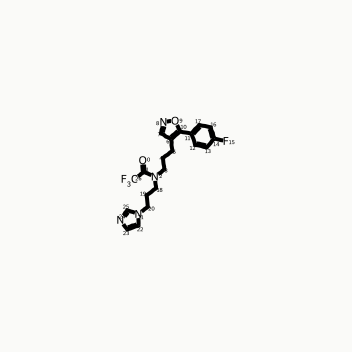 O=C(N(CCCc1cnoc1-c1ccc(F)cc1)CCCn1ccnc1)C(F)(F)F